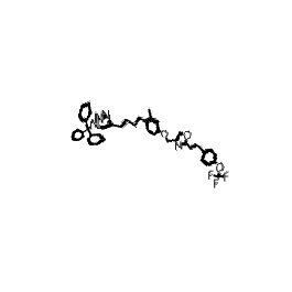 Cc1cc(OCc2coc(/C=C/c3ccc(OC(F)(F)F)cc3)n2)ccc1CCCCc1cn(C(c2ccccc2)(c2ccccc2)c2ccccc2)nn1